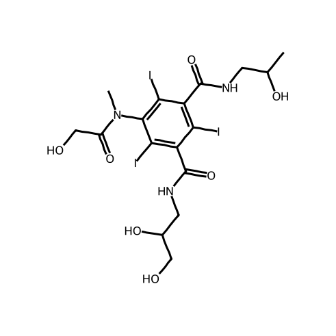 CC(O)CNC(=O)c1c(I)c(C(=O)NCC(O)CO)c(I)c(N(C)C(=O)CO)c1I